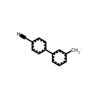 [CH2]c1cccc(-c2ccc(C#N)cc2)c1